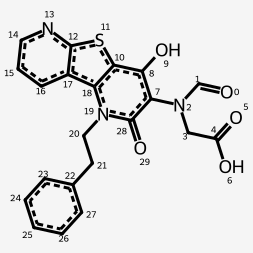 O=CN(CC(=O)O)c1c(O)c2sc3ncccc3c2n(CCc2ccccc2)c1=O